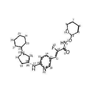 O=C(NOC1CCCCO1)C(F)=Cc1ccc(N[C@@H]2CCN(C3CCCCC3)C2)nc1